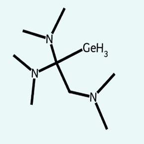 CN(C)C[C]([GeH3])(N(C)C)N(C)C